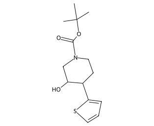 CC(C)(C)OC(=O)N1CCC(c2cccs2)C(O)C1